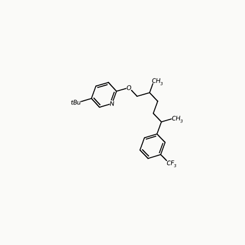 CC(CCC(C)c1cccc(C(F)(F)F)c1)COc1ccc(C(C)(C)C)cn1